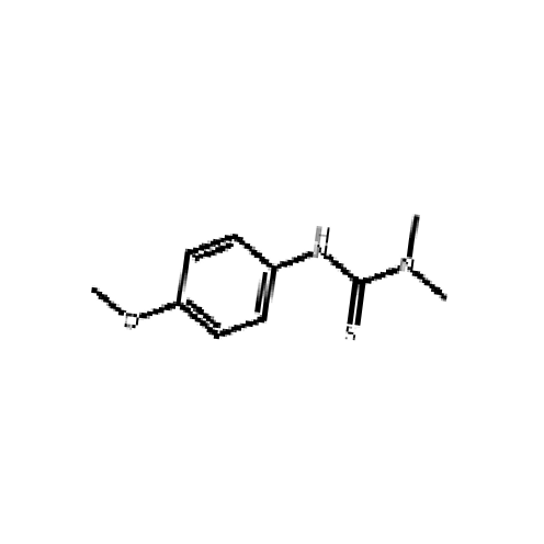 COc1ccc(NC(=S)N(C)C)cc1